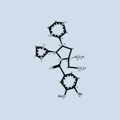 COc1cc(C(=O)N2[C@@H](c3nccs3)[C@@H](c3cnccn3)C[C@]2(CC(=O)O)C(=O)O)ccc1C(C)(C)C